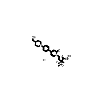 CC(CCn1ccc(-c2ccc(N3CCC(CO)CC3)cc2)cc1=O)(C(=O)NO)S(C)(=O)=O.Cl